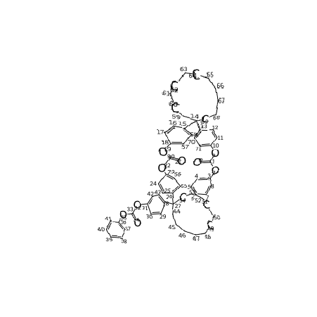 O=C(Oc1ccccc1)Oc1ccc(C2(c3ccc(OC(=O)Oc4ccc(C5(c6ccc(OC(=O)Oc7ccccc7)cc6)CCCCCCCCCCC5)cc4)cc3)CCCCCCCCCCC2)cc1